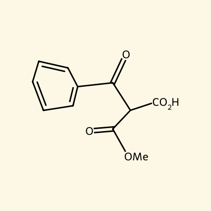 COC(=O)C(C(=O)O)C(=O)c1ccccc1